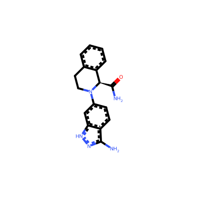 NC(=O)[C@@H]1c2ccccc2CCN1c1ccc2c(N)n[nH]c2c1